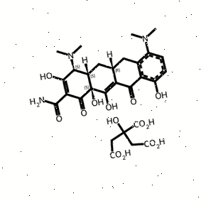 CN(C)c1ccc(O)c2c1C[C@H]1C[C@H]3[C@H](N(C)C)C(O)=C(C(N)=O)C(=O)[C@@]3(O)C(O)=C1C2=O.O=C(O)CC(O)(CC(=O)O)C(=O)O